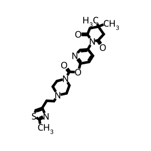 Cc1nc(CCN2CCN(C(=O)Oc3ccc(N4C(=O)CC(C)(C)CC4=O)cn3)CC2)cs1